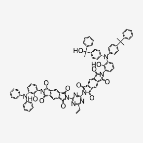 C=Cc1nc(-n2c(=O)c3cc4c(=O)n(-c5cccc(N(c6ccccc6)c6ccccc6)c5O)c(=O)c4cc3c2=O)nc(-n2c(=O)c3cc4c(=O)n(-c5cccc(N(c6ccc(C(C)(C)c7ccccc7)cc6)c6ccc(C(C)(O)c7ccccc7)cc6)c5O)c(=O)c4cc3c2=O)n1